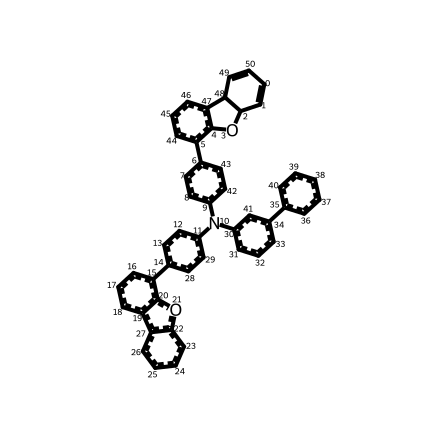 C1=CC2Oc3c(-c4ccc(N(c5ccc(-c6cccc7c6oc6ccccc67)cc5)c5cccc(-c6ccccc6)c5)cc4)cccc3C2C=C1